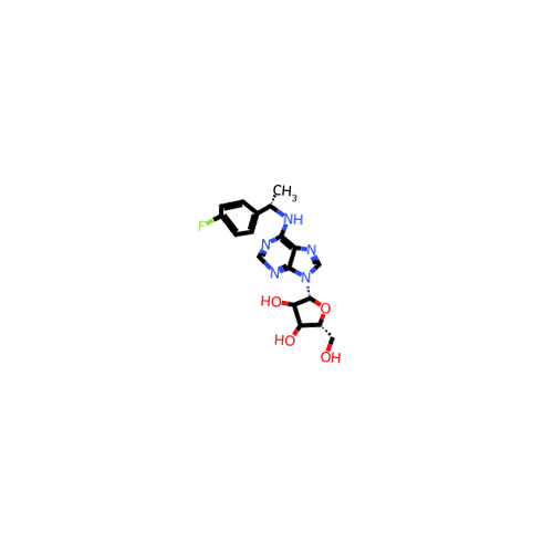 C[C@H](Nc1ncnc2c1ncn2[C@@H]1O[C@H](CO)C(O)C1O)c1ccc(F)cc1